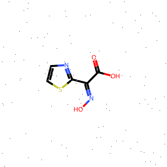 O=C(O)/C(=N/O)c1nccs1